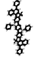 CC1(C)c2cc3c4cc5c(cc4n(-c4ccccc4)c3cc2-c2c1cc(-c1ccccc1)c1ccccc21)c1cc2c(cc1n5-c1ccccc1)-c1c(cc(-c3ccccc3)c3ccccc13)C2(C)C